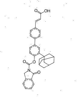 O=C(O)C=Cc1ccc(-c2ccc(OC(=O)N3Cc4ccccc4C3=O)c(C34CC5CC(CC(C5)C3)C4)c2)cc1